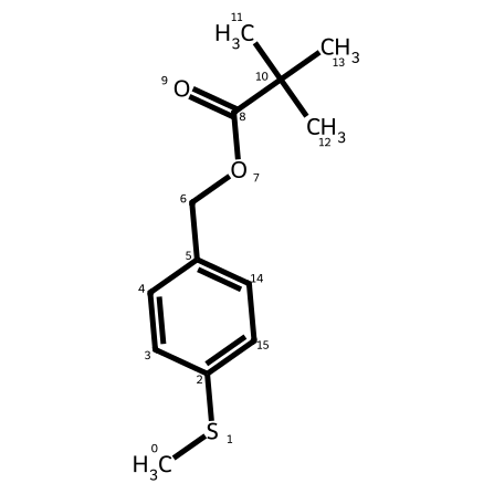 CSc1ccc(COC(=O)C(C)(C)C)cc1